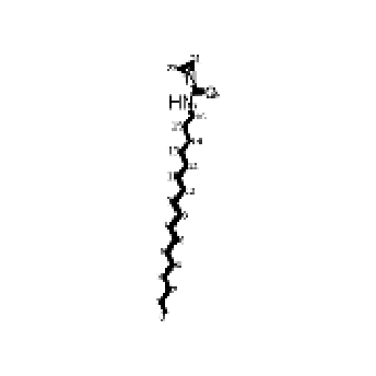 CCCCCCCCCCCCCCCCCNC(=O)N1CC1